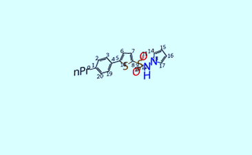 CCCc1ccc(-c2ccc(S(=O)(=O)Nn3cccc3)s2)cc1